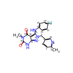 Cc1ccc(Cn2nc3[nH]c(=O)n(C)c(=O)c3c2Nc2ccc(F)cc2)cn1